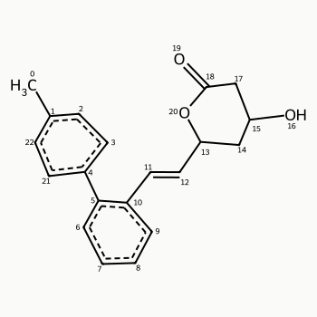 Cc1ccc(-c2ccccc2C=CC2CC(O)CC(=O)O2)cc1